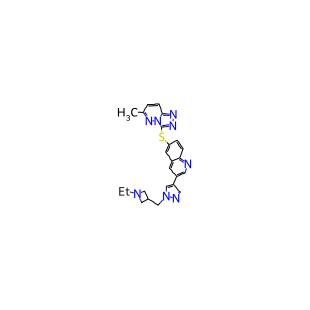 CCN1CC(Cn2cc(-c3cnc4ccc(Sc5nnc6ccc(C)nn56)cc4c3)cn2)C1